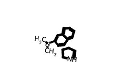 C1=CNCCC1.CN(C)c1ccc2ccccc2c1